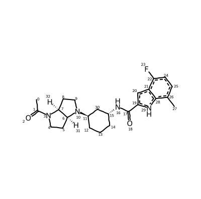 CC(=O)N1CC[C@H]2[C@@H]1CCN2[C@@H]1CCC[C@@H](NC(=O)c2cc3c(F)ccc(C)c3[nH]2)C1